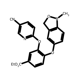 [C-]#[N+]c1ccc(Oc2cc(C(=O)OCC)ccc2Oc2ccc3c(c2)COB3C)nc1